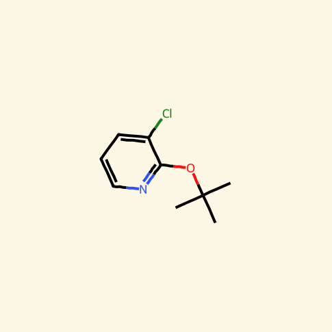 CC(C)(C)Oc1ncccc1Cl